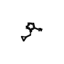 CC(C)c1c[c]nn1CC1CC1